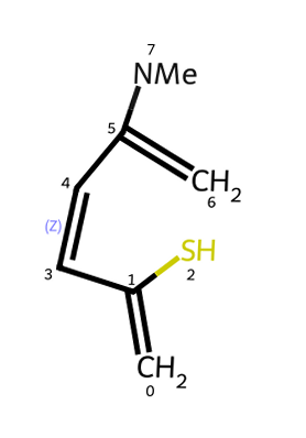 C=C(S)/C=C\C(=C)NC